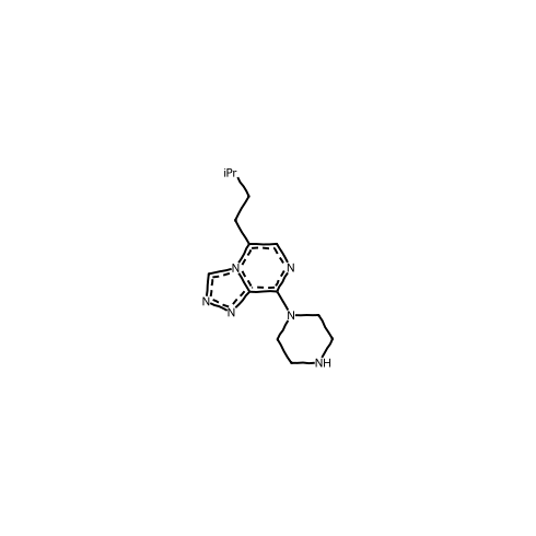 CC(C)CCc1cnc(N2CCNCC2)c2nncn12